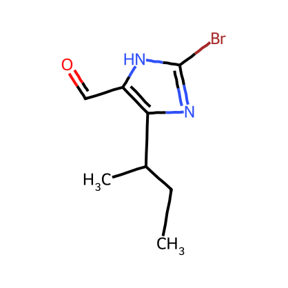 CCC(C)c1nc(Br)[nH]c1C=O